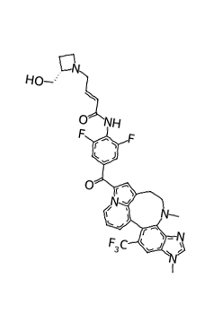 CN1CCc2cc(C(=O)c3cc(F)c(NC(=O)/C=C/CN4CC[C@H]4CO)c(F)c3)n3cccc(c23)-c2c(C(F)(F)F)cc3c(ncn3C)c21